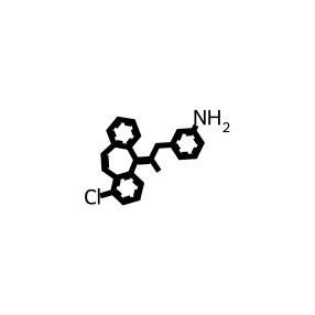 C/C(Cc1cccc(N)c1)=C1/c2ccccc2C=Cc2c(Cl)cccc21